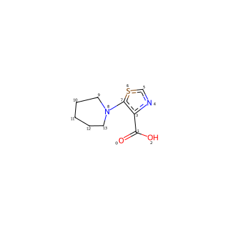 O=C(O)c1ncsc1N1CCCCC1